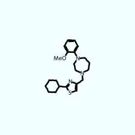 COc1ccccc1N1CCCN(Cc2csc(C3CCCCC3)n2)CC1